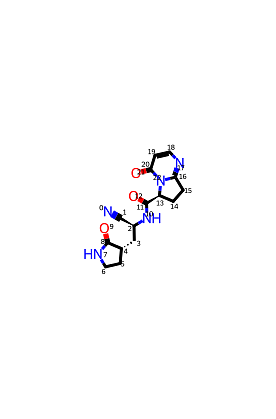 N#C[C@H](C[C@@H]1CCNC1=O)NC(=O)[C@@H]1CCc2nccc(=O)n21